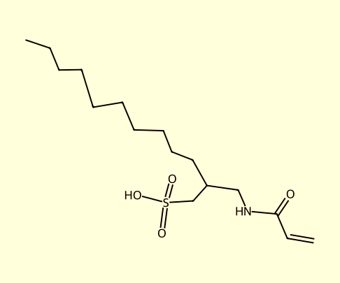 C=CC(=O)NCC(CCCCCCCCCC)CS(=O)(=O)O